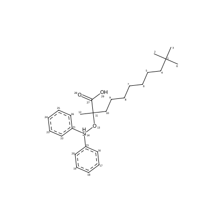 CC(C)(C)CCCCCCCC(C)(O[SiH](c1ccccc1)c1ccccc1)C(=O)O